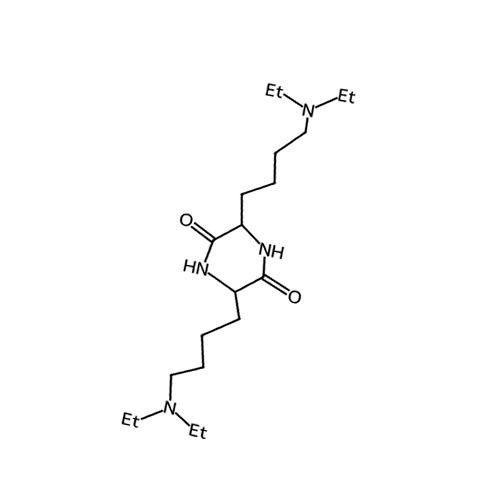 CCN(CC)CCCCC1NC(=O)C(CCCCN(CC)CC)NC1=O